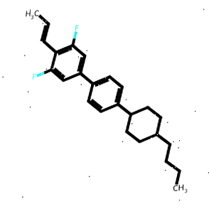 C/C=C/c1c(F)cc(-c2ccc(C3CCC(CCCC)CC3)cc2)cc1F